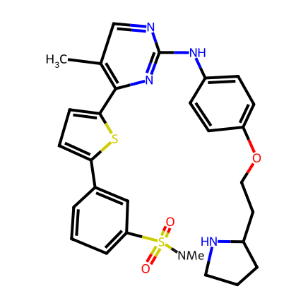 CNS(=O)(=O)c1cccc(-c2ccc(-c3nc(Nc4ccc(OCCC5CCCN5)cc4)ncc3C)s2)c1